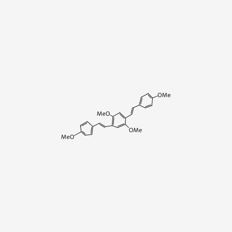 COc1ccc(C=Cc2cc(OC)c(C=Cc3ccc(OC)cc3)cc2OC)cc1